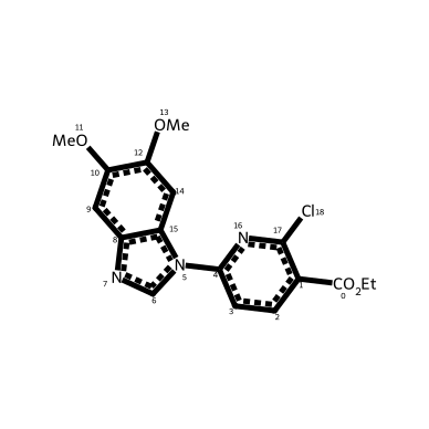 CCOC(=O)c1ccc(-n2cnc3cc(OC)c(OC)cc32)nc1Cl